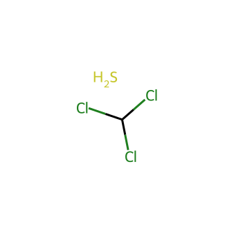 ClC(Cl)Cl.S